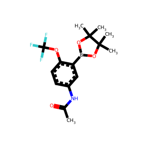 CC(=O)Nc1ccc(OC(F)(F)F)c(B2OC(C)(C)C(C)(C)O2)c1